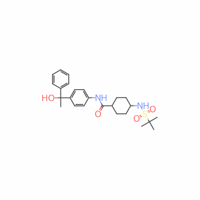 CC(O)(c1ccccc1)c1ccc(NC(=O)C2CCC(NS(=O)(=O)C(C)(C)C)CC2)cc1